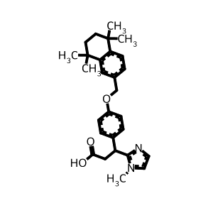 Cn1ccnc1C(CC(=O)O)c1ccc(OCc2ccc3c(c2)C(C)(C)CCC3(C)C)cc1